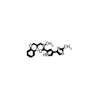 Cc1nc(-c2c[nH]c(C(=O)N(C)CC3COc4ccccc4O3)c2)cs1